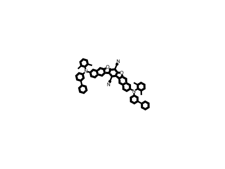 Cc1cccc(C)c1N(c1cccc(-c2ccccc2)c1)c1ccc2cc3c(cc2c1)oc1c(C#N)c2oc4cc5cc(N(c6cccc(-c7ccccc7)c6)c6c(C)cccc6C)ccc5cc4c2c(C#N)c13